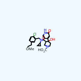 COCCc1ccc(Cl)c(CN(C(=O)C2CN(C(=O)O)CCC2(O)c2cc[nH]c(=O)c2)C2CC2)c1